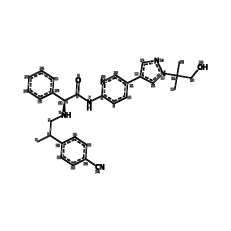 CC(CN[C@H](C(=O)Nc1ccc(-c2cnn(C(C)(C)CO)c2)cn1)c1ccccc1)c1ccc(C#N)cc1